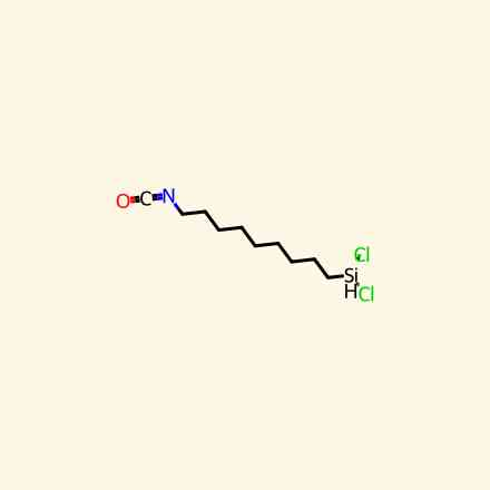 O=C=NCCCCCCCCC[SiH](Cl)Cl